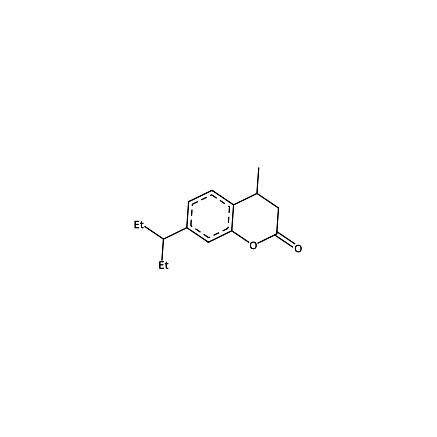 CCC(CC)c1ccc2c(c1)OC(=O)CC2C